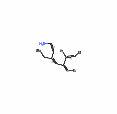 CCC=C(/C=C(\C=C/N)CC(C)(C)C)/C(=C/CC)CC